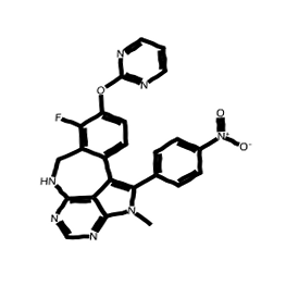 Cn1c(-c2ccc([N+](=O)[O-])cc2)c2c3c(ncnc31)NCc1c-2ccc(Oc2ncccn2)c1F